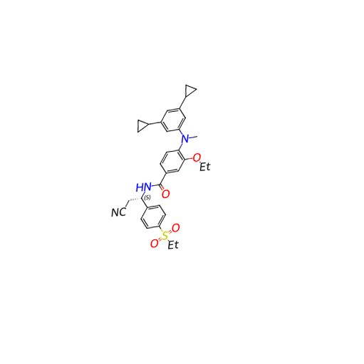 CCOc1cc(C(=O)N[C@@H](CC#N)c2ccc(S(=O)(=O)CC)cc2)ccc1N(C)c1cc(C2CC2)cc(C2CC2)c1